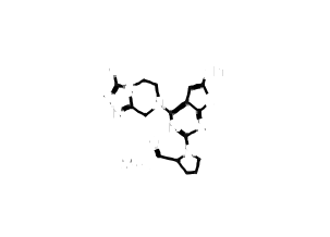 CCCc1cc2c(N3CCn4c(nnc4C(F)(F)F)C3)nc(N3CCCC3C(=O)OC)nc2s1